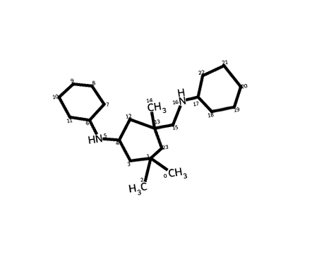 CC1(C)CC(NC2CCCCC2)CC(C)(CNC2CCCCC2)C1